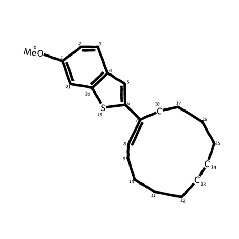 COc1ccc2cc(/C3=C/CCCCCCCCCC3)sc2c1